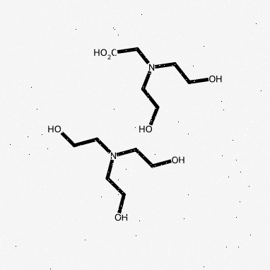 O=C(O)CN(CCO)CCO.OCCN(CCO)CCO